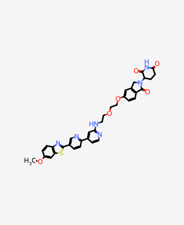 COc1ccc2nc(-c3ccc(-c4ccnc(NCCOCCOc5ccc6c(c5)CN(C5CCC(=O)NC5=O)C6=O)c4)nc3)sc2c1